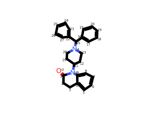 O=C1CCc2ccccc2N1C1CCN(C(c2ccccc2)c2ccccc2)CC1